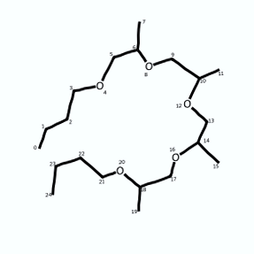 CCCCOCC(C)OCC(C)OCC(C)OCC(C)OCCCC